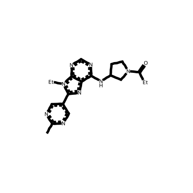 CCC(=O)N1CCC(Nc2ncnc3c2nc(-c2cnc(C)nc2)n3CC)C1